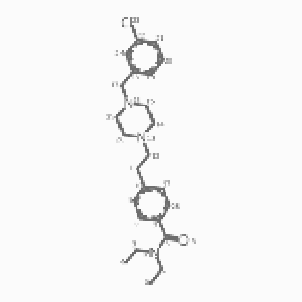 CCN(CC)C(=O)c1ccc(CCN2CCN(Cc3cccc(Cl)c3)CC2)cc1